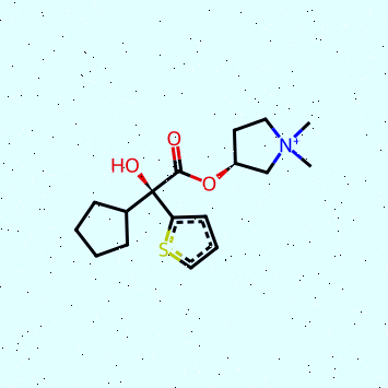 C[N+]1(C)CC[C@H](OC(=O)[C@](O)(c2cccs2)C2CCCC2)C1